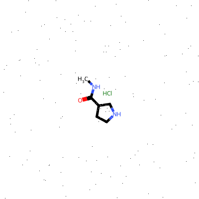 CNC(=O)C1CCNC1.Cl